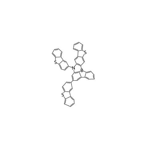 c1ccc2c(c1)B1c3cc4sc5ccccc5c4cc3N(c3ccc4sc5ccccc5c4c3)c3cc(-c4ccc5sc6ccccc6c5c4)cc-2c31